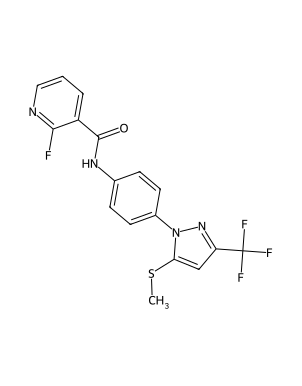 CSc1cc(C(F)(F)F)nn1-c1ccc(NC(=O)c2cccnc2F)cc1